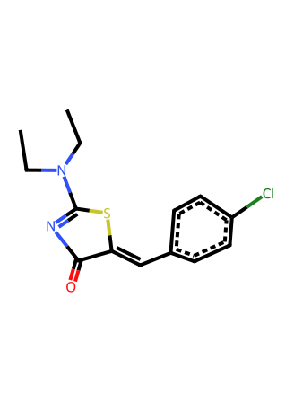 CCN(CC)C1=NC(=O)C(=Cc2ccc(Cl)cc2)S1